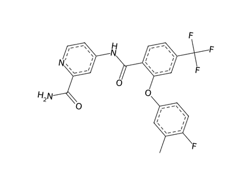 Cc1cc(Oc2cc(C(F)(F)F)ccc2C(=O)Nc2ccnc(C(N)=O)c2)ccc1F